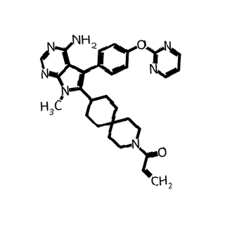 C=CC(=O)N1CCC2(CCC(c3c(-c4ccc(Oc5ncccn5)cc4)c4c(N)ncnc4n3C)CC2)CC1